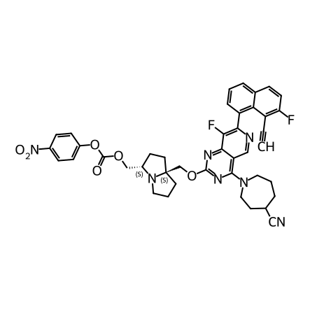 C#Cc1c(F)ccc2cccc(-c3ncc4c(N5CCCC(C#N)CC5)nc(OC[C@@]56CCCN5[C@H](COC(=O)Oc5ccc([N+](=O)[O-])cc5)CC6)nc4c3F)c12